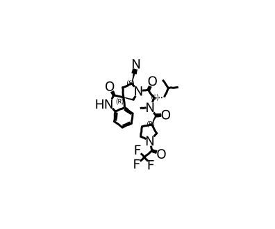 CC(C)C[C@@H](C(=O)N1C[C@]2(C[C@H]1C#N)C(=O)Nc1ccccc12)N(C)C(=O)[C@@H]1CCN(C(=O)C(F)(F)F)C1